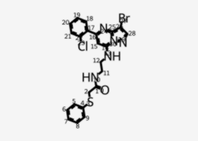 O=C(CSc1ccccc1)NCCNc1cc(-c2ccccc2Cl)nc2c(Br)cnn12